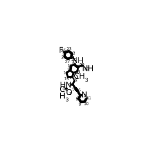 CC(=O)NC(C#Cc1ccccn1)C[C@H]1CCC2=CC(Nc3ccc(F)cc3)=C(C=N)C[C@@]21C